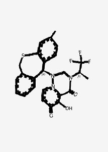 Cc1ccc2c(c1)SCc1ccccc1[C@@H]2N1CN([C@H](C)C(F)(F)F)C(=O)c2c(O)c(=O)ccn21